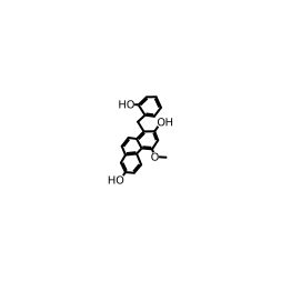 COc1cc(O)c(Cc2ccccc2O)c2ccc3cc(O)ccc3c12